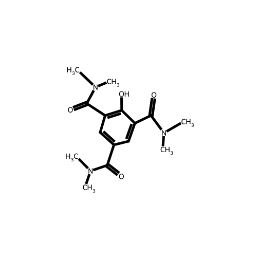 CN(C)C(=O)c1cc(C(=O)N(C)C)c(O)c(C(=O)N(C)C)c1